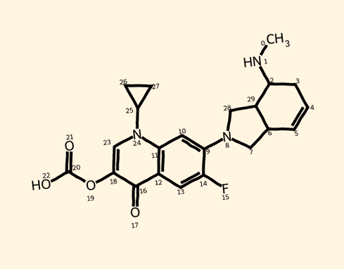 CNC1CC=CC2CN(c3cc4c(cc3F)c(=O)c(OC(=O)O)cn4C3CC3)CC21